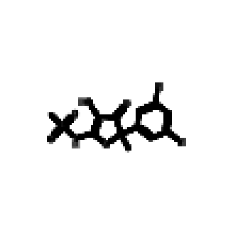 CC1(c2cc(Cl)cc(Cl)c2)OC(NS(C)(=O)=O)=C(O)C1=O